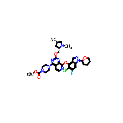 CN1C[C@H](C#N)C[C@H]1COc1nc(N2CCN(C(=O)OC(C)(C)C)CC2)c2ccnc(Oc3c(Cl)c(F)cc4c3cnn4C3CCCCO3)c2n1